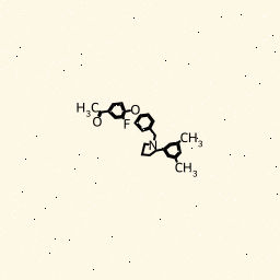 CC(=O)c1ccc(Oc2ccc(CN3CCCC3c3cc(C)cc(C)c3)cc2)c(F)c1